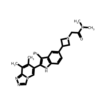 Cc1c(-c2[nH]c3ccc(C4CN(CC(=O)N(C)C)C4)cc3c2C(C)C)cn2cnnc2c1C